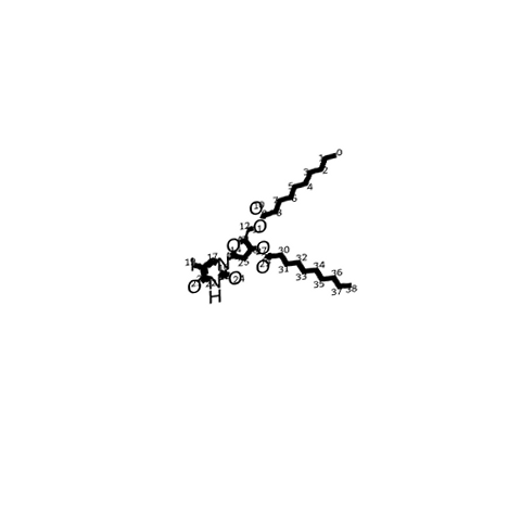 CCCCCCCCCC(=O)OC[C@@H]1O[C@H](n2cc(I)c(=O)[nH]c2=O)CC1OC(=O)CCCCCCCCC